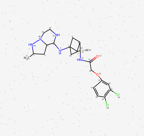 CC1CC2C(NC34CC(C3)[C@@H](NC(=O)COc3ccc(Cl)c(Cl)c3)C4)NCCN2N1